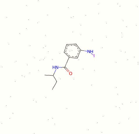 CCC(C)NC(=O)c1cccc(NI)c1